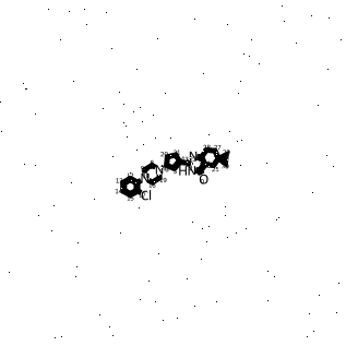 O=c1[nH]c(C2=C[C@H](N3CCN(c4ccccc4Cl)CC3)CC2)nc2c1CC1(CC2)CC1